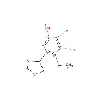 CCc1c(C2CCCC2)cc(O)c(F)c1F